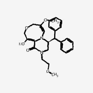 COCCN1C[C@H](C(c2ccccc2)c2ccccc2)N2/C=C(/OC)COC/C(O)=C\2C1=O